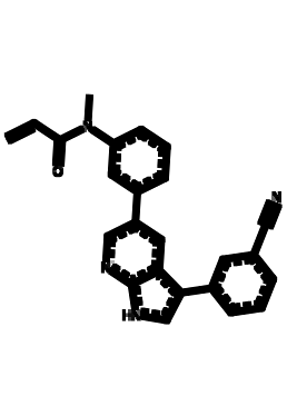 C=CC(=O)N(C)c1cccc(-c2cnc3[nH]cc(-c4cccc(C#N)c4)c3c2)c1